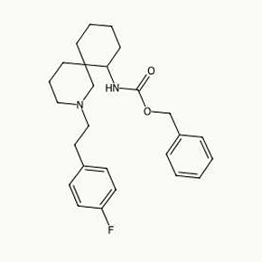 O=C(NC1CCCCC12CCCN(CCc1ccc(F)cc1)C2)OCc1ccccc1